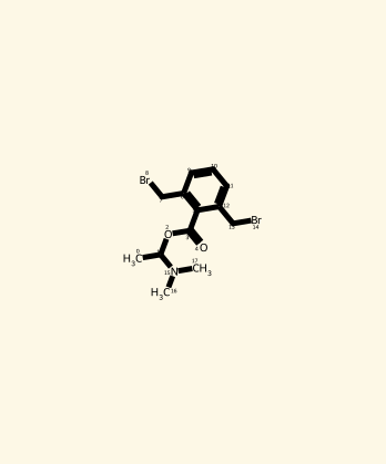 CC(OC(=O)c1c(CBr)cccc1CBr)N(C)C